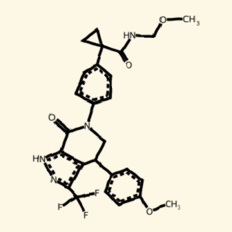 COCNC(=O)C1(c2ccc(N3CC(c4ccc(OC)cc4)c4c(C(F)(F)F)n[nH]c4C3=O)cc2)CC1